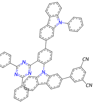 N#Cc1cc(C#N)cc(-c2ccc3c4ccccc4n(-c4ccc(-c5ccc6c7ccccc7n(-c7ccccc7)c6c5)cc4-c4nc(-c5ccccc5)nc(-c5ccccc5)n4)c3c2)c1